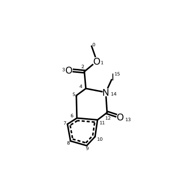 COC(=O)C1Cc2ccccc2C(=O)N1I